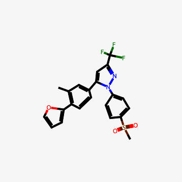 Cc1cc(-c2cc(C(F)(F)F)nn2-c2ccc(S(C)(=O)=O)cc2)ccc1-c1ccco1